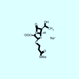 CNC(=O)CCS[C@@H]1S[C@@H]2[C@H](C(C)O)C(=O)N2[C@@H]1C(=O)[O-].[Na+]